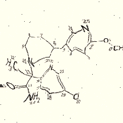 COc1ccc(C2CCCN(C(C)(C(N)=O)c3ccc(Cl)cn3)C2)cn1